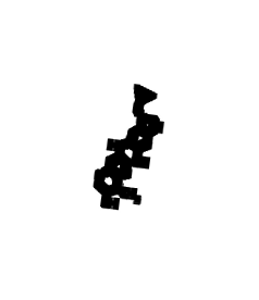 CN1c2ccc(Nc3cc4c(cc3O)ncn4CC3CC3)cc2OCC1O